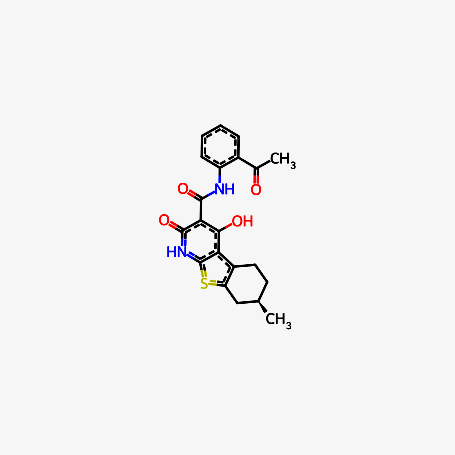 CC(=O)c1ccccc1NC(=O)c1c(O)c2c3c(sc2[nH]c1=O)C[C@H](C)CC3